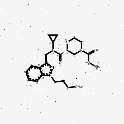 COCCCn1nc(CN(C(=O)[C@H]2CN(C(=O)OC(C)(C)C)CCO2)C2CC2)c2ccccc21